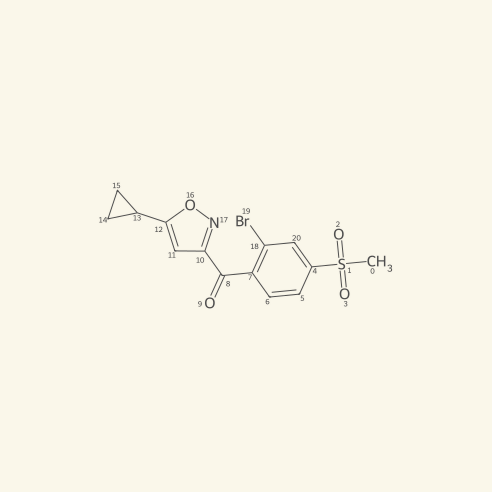 CS(=O)(=O)c1ccc(C(=O)c2cc(C3CC3)on2)c(Br)c1